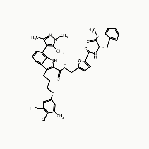 COC(=O)[C@H](Cc1ccccc1)NC(=O)c1ccc(CNC(=O)c2[nH]c3c(-c4c(C)nn(C)c4C)cccc3c2CCCOc2cc(C)c(Cl)c(C)c2)o1